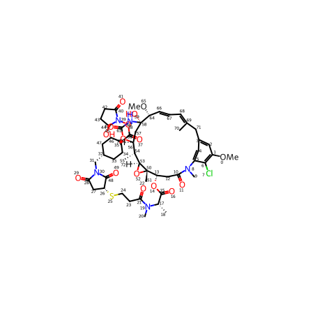 COc1cc2cc(c1Cl)N(C)C(=O)C[C@H](OC(=O)[C@H](C)N(C)C(=O)CCS[C@@H]1CC(=O)N(C[C@H]3CC[C@H](C(=O)ON4C(=O)CCC4O)CC3)C1=O)[C@]1(C)O[C@H]1[C@H](C)[C@@H]1C[C@@](O)(NC(=O)O1)[C@H](OC)/C=C/C=C(\C)C2